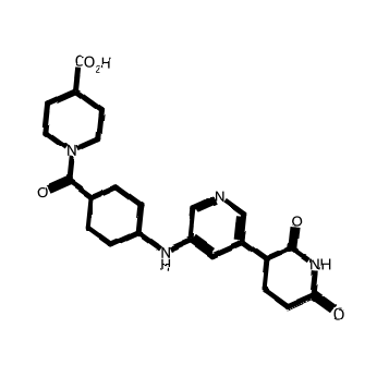 O=C1CCC(c2cncc(NC3CCC(C(=O)N4CCC(C(=O)O)CC4)CC3)c2)C(=O)N1